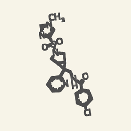 Cn1cnc(S(=O)(=O)N2CC3C(C2)C3(CNC(=O)c2ccc(Cl)cc2)c2ccccn2)c1